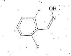 O/N=C\c1c(F)c[c]cc1F